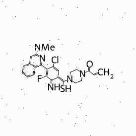 C=CC(=O)N1CCN(/C(S)=C2\C=C(Cl)C(c3nc(NC)cc4ccccc34)=C(F)C2=N)CC1